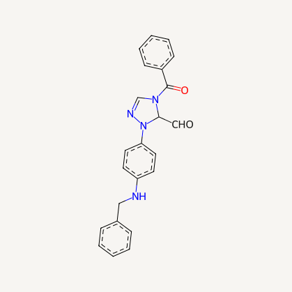 O=CC1N(C(=O)c2ccccc2)C=NN1c1ccc(NCc2ccccc2)cc1